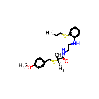 CCCSc1ccccc1NCCNC(=O)C(C)(C)SCc1ccc(OC)cc1